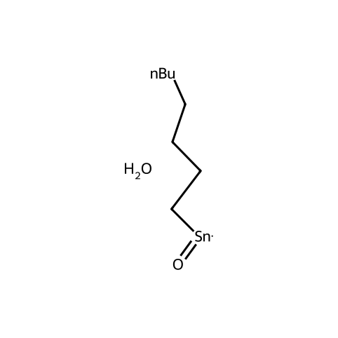 CCCCCCC[CH2][Sn]=[O].O